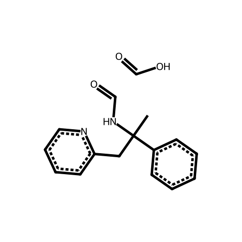 CC(Cc1ccccn1)(NC=O)c1ccccc1.O=CO